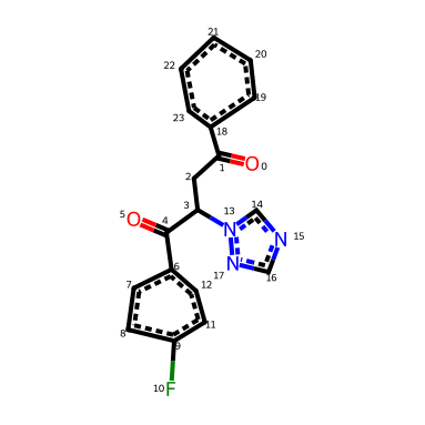 O=C(CC(C(=O)c1ccc(F)cc1)n1cncn1)c1ccccc1